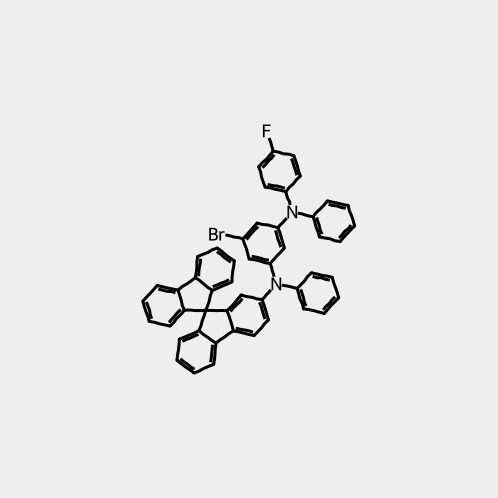 Fc1ccc(N(c2ccccc2)c2cc(Br)cc(N(c3ccccc3)c3ccc4c(c3)C3(c5ccccc5-c5ccccc53)c3ccccc3-4)c2)cc1